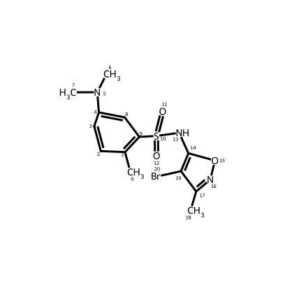 Cc1ccc(N(C)C)cc1S(=O)(=O)Nc1onc(C)c1Br